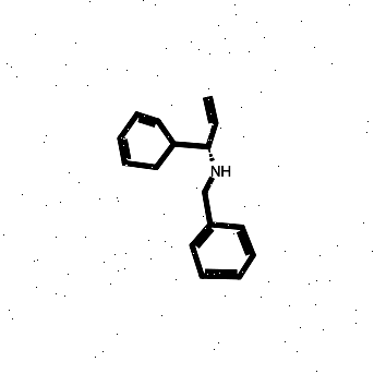 C=C[C@H](NCc1ccccc1)C1C=CC=CC1